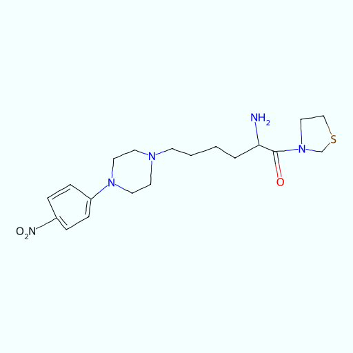 NC(CCCCN1CCN(c2ccc([N+](=O)[O-])cc2)CC1)C(=O)N1CCSC1